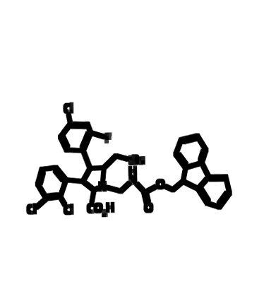 CC(C)(C)CC1C(c2ccc(Cl)cc2F)C(c2cccc(Cl)c2Cl)C(C(=O)O)N1CNC(=O)OCC1c2ccccc2-c2ccccc21